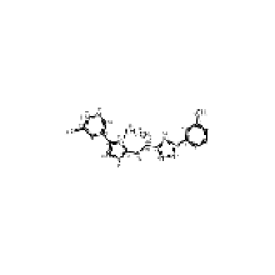 Cc1cccc(-n2nnc([C@@H](C)Sc3nnc(-c4cn[nH]c(=O)c4)n3C)n2)c1